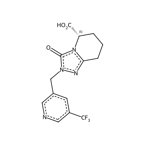 O=C(O)[C@@H]1CCCc2nn(Cc3cncc(C(F)(F)F)c3)c(=O)n21